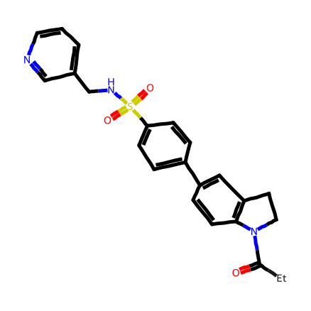 CCC(=O)N1CCc2cc(-c3ccc(S(=O)(=O)NCc4cccnc4)cc3)ccc21